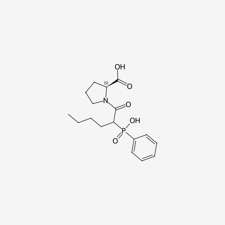 CCCCC(C(=O)N1CCC[C@H]1C(=O)O)P(=O)(O)c1ccccc1